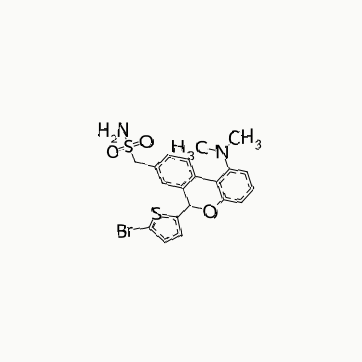 CN(C)c1cccc2c1-c1ccc(CS(N)(=O)=O)cc1C(c1ccc(Br)s1)O2